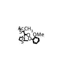 COc1ccccc1OCC1SCCN1C(=O)C(C)SC(C)=O